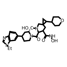 CCn1cnc2ccc(C3CCN(C(=O)C4C(C(=O)NO)CC5(CC5C5CCOCC5)CN4C(=O)O)CC3)cc21